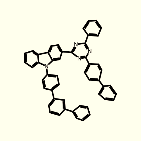 c1ccc(-c2ccc(-c3nc(-c4ccccc4)nc(-c4ccc5c6ccccc6n(-c6ccc(-c7cccc(-c8ccccc8)c7)cc6)c5c4)n3)cc2)cc1